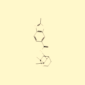 Cc1nc2ccc(C(=O)NC3C4CCN(CC4)C3(C)C)cc2s1